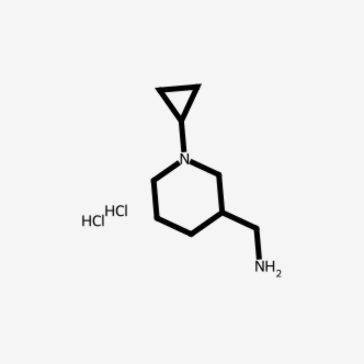 Cl.Cl.NCC1CCCN(C2CC2)C1